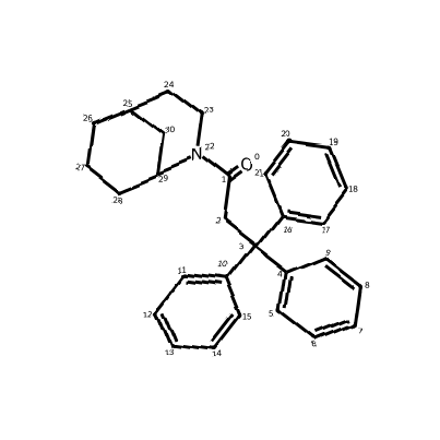 O=C(CC(c1ccccc1)(c1ccccc1)c1ccccc1)N1CCC2CCCC1C2